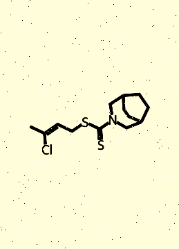 CC(Cl)=CCSC(=S)N1CC2CCC(CC2)C1